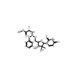 CC(C)OC(=O)[C@H](C)NP(OCC1OC(n2ccc(=O)[nH]c2=S)C(C)(O)[C@H]1O)Oc1ccccc1